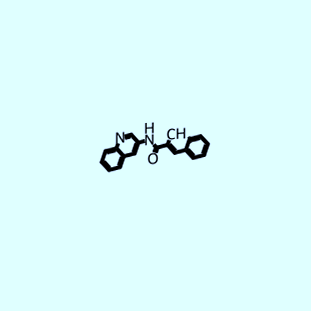 C/C(=C\c1ccccc1)C(=O)Nc1cnc2ccccc2c1